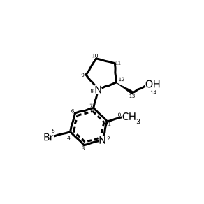 Cc1ncc(Br)cc1N1CCC[C@H]1CO